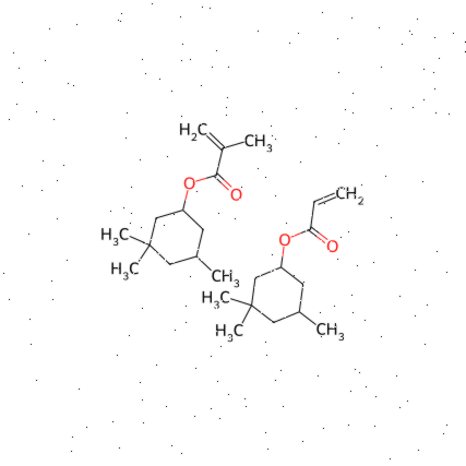 C=C(C)C(=O)OC1CC(C)CC(C)(C)C1.C=CC(=O)OC1CC(C)CC(C)(C)C1